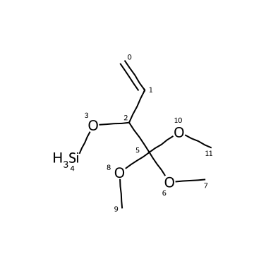 C=CC(O[SiH3])C(OC)(OC)OC